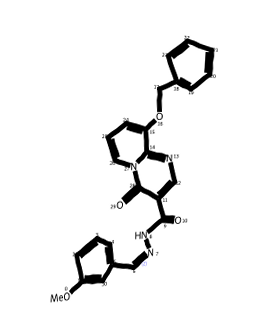 COc1cccc(/C=N\NC(=O)c2cnc3c(OCc4ccccc4)cccn3c2=O)c1